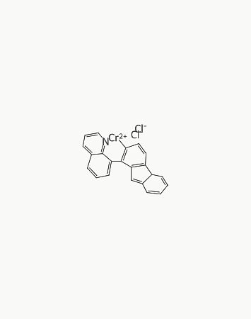 [Cl-].[Cl-].[Cr+2][c]1ccc2c(c1-c1cccc3cccnc13)C=C1C=CC=CC12